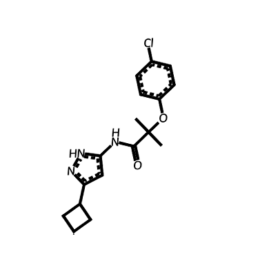 CC(C)(Oc1ccc(Cl)cc1)C(=O)Nc1cc(C2C[CH]C2)n[nH]1